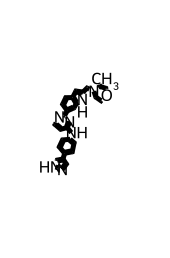 CC1COCCN1Cc1cc2ccc(-c3nccc(Nc4ccc(-c5cn[nH]c5)cc4)n3)cc2[nH]1